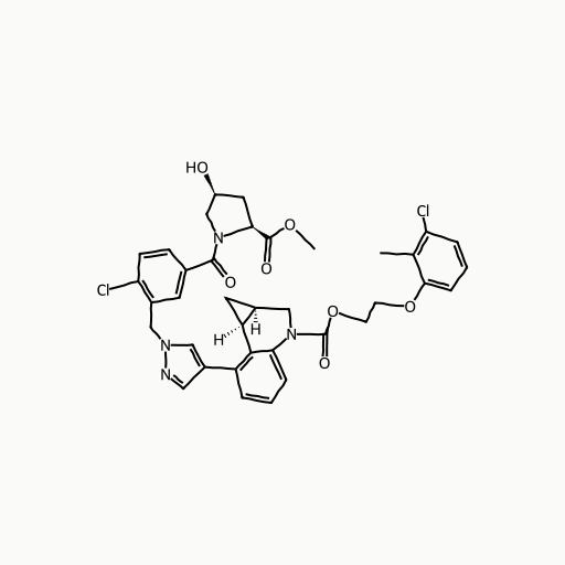 COC(=O)[C@@H]1C[C@H](O)CN1C(=O)c1ccc(Cl)c(Cn2cc(-c3cccc4c3[C@H]3C[C@H]3CN4C(=O)OCCOc3cccc(Cl)c3C)cn2)c1